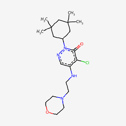 CC1(C)CC(n2ncc(NCCN3CCOCC3)c(Cl)c2=O)CC(C)(C)C1